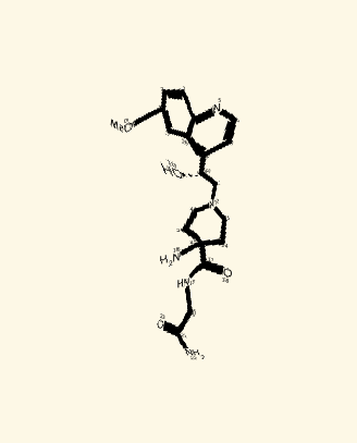 COc1ccc2nccc([C@@H](O)CN3CCC(N)(C(=O)NCC(N)=O)CC3)c2c1